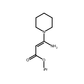 CC(C)OC(=O)C=C(N)N1CCCCC1